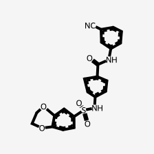 N#Cc1cccc(NC(=O)c2ccc(NS(=O)(=O)c3ccc4c(c3)OCCO4)cc2)c1